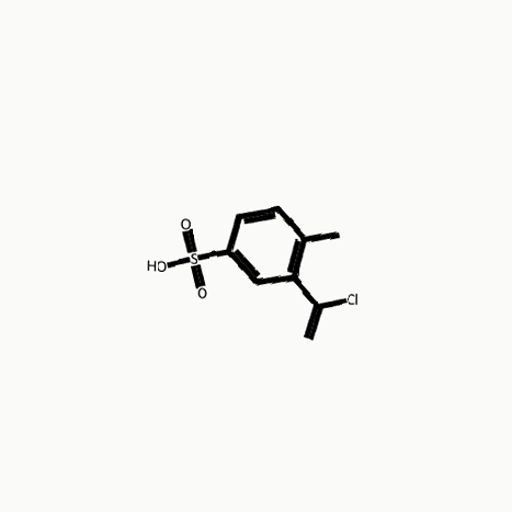 C=C(Cl)c1cc(S(=O)(=O)O)ccc1C